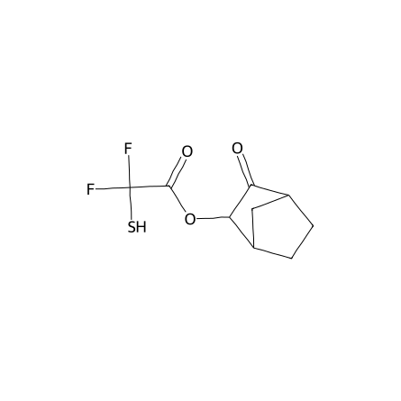 O=C1C2CCC(C2)C1OC(=O)C(F)(F)S